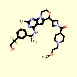 COCCN1CCC(C(=O)N2CC(C3OCCn4c3cc3c(N[C@H](C)c5cccc(C(F)(F)CO)c5)nc(C)nc34)C2)CC1